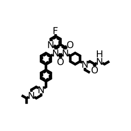 CCNC(=O)CN(CC)C1CCC(n2c(=O)c3cc(F)cnc3n(-c3cccc(-c4ccc(CN5CCN(C(C)C)CC5)cc4)c3)c2=O)CC1